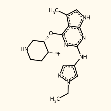 CCn1cc(Nc2nc(O[C@H]3CNCC[C@H]3F)c3c(C)c[nH]c3n2)cn1